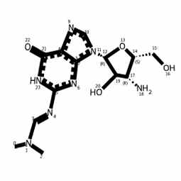 CN(C)C=Nc1nc2c(ncn2[C@@H]2O[C@H](CO)[C@H](N)C2O)c(=O)[nH]1